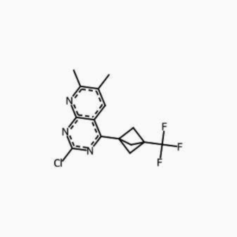 Cc1cc2c(C34CC(C(F)(F)F)(C3)C4)nc(Cl)nc2nc1C